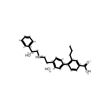 CCCc1cc(C(=O)O)ccc1-c1ccc(CCNC[C@H](O)c2ccccc2)cc1.Cl